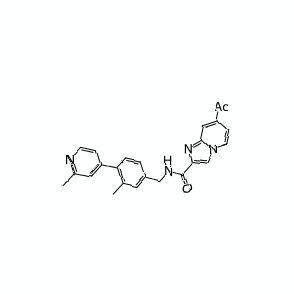 CC(=O)c1ccn2cc(C(=O)NCc3ccc(-c4ccnc(C)c4)c(C)c3)nc2c1